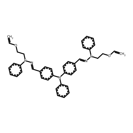 C=COCCN(/N=C/c1ccc(N(c2ccccc2)c2ccc(/C=N/N(CCOC=C)c3ccccc3)cc2)cc1)c1ccccc1